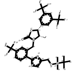 C[C@H]1[C@@H](c2cc(C(F)(F)F)cc(C(F)(F)F)c2)OC(=O)N1Cc1cc(C(F)(F)F)ccc1-c1nc(CO[Si](C)(C)C(C)(C)C)cs1